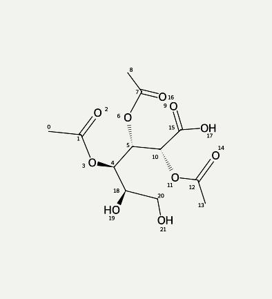 CC(=O)O[C@@H]([C@H](OC(C)=O)[C@@H](OC(C)=O)C(=O)O)[C@H](O)CO